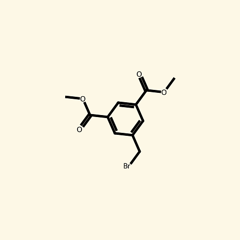 COC(=O)c1cc(CBr)cc(C(=O)OC)c1